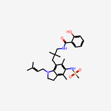 CC(C)=CCN1CCc2c(C)c(NS(C)(=O)=O)c(C)c(CC(C)(C)CNC(=O)c3ccccc3O)c21